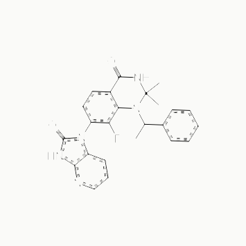 CC(c1ccccc1)N1c2c(ccc(-n3c(=O)[nH]c4ncccc43)c2F)C(=O)NC1(C)C